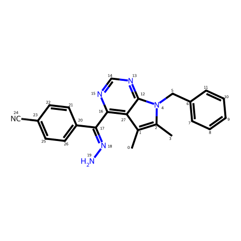 Cc1c(C)n(Cc2ccccc2)c2ncnc(C(=NN)c3ccc(C#N)cc3)c12